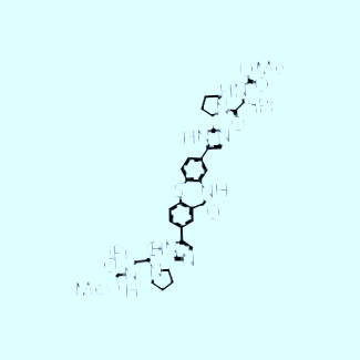 COC(=O)N[C@H](C(=O)N1CCC[C@H]1c1ncc(-c2ccc3c(c2)NC(=O)c2cc(-c4cnc([C@@H]5CCCN5C(=O)[C@@H](NC(=O)OC)C(C)C)[nH]4)ccc2S3)[nH]1)C(C)C